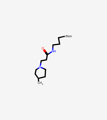 CCCCCCCCCCCCNC(=O)CCN1CCC(C)CC1